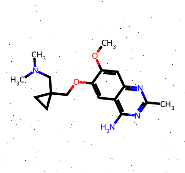 COc1cc2nc(C)nc(N)c2cc1OCC1(CN(C)C)CC1